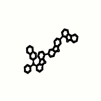 c1ccc(N(c2ccc3ccccc3c2)c2cccc3oc4c(-c5ccc6oc7cc(-c8cccc9c8oc8ccccc89)ccc7c6c5)cccc4c23)cc1